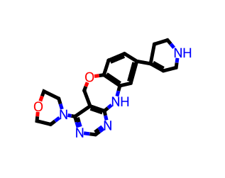 C1=C(c2ccc3c(c2)Nc2ncnc(N4CCOCC4)c2CO3)CCNC1